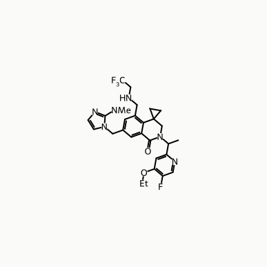 CCOc1cc(C(C)N2CC3(CC3)c3c(CNCC(F)(F)F)cc(Cn4ccnc4NC)cc3C2=O)ncc1F